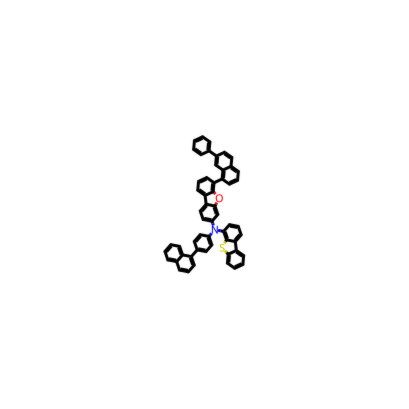 c1ccc(-c2ccc3cccc(-c4cccc5c4oc4cc(N(c6ccc(-c7cccc8ccccc78)cc6)c6cccc7c6sc6ccccc67)ccc45)c3c2)cc1